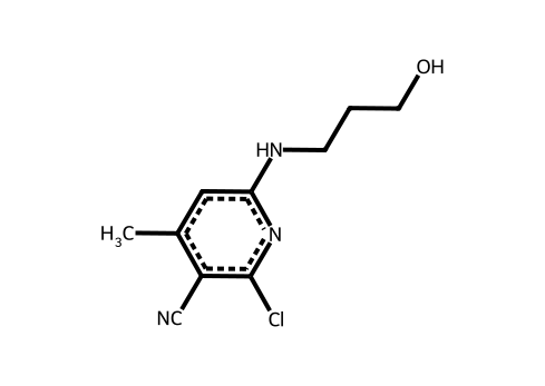 Cc1cc(NCCCO)nc(Cl)c1C#N